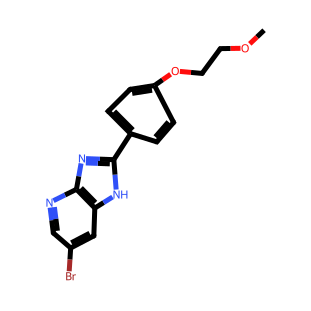 COCCOc1ccc(-c2nc3ncc(Br)cc3[nH]2)cc1